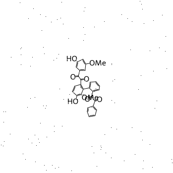 COc1cc(O)cc(C(=O)C(=O)c2ccc(O)c(OC)c2-c2ccccc2C(=O)C(=O)c2ccccc2)c1